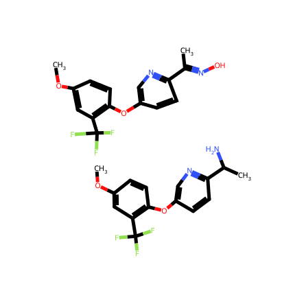 COc1ccc(Oc2ccc(/C(C)=N/O)nc2)c(C(F)(F)F)c1.COc1ccc(Oc2ccc(C(C)N)nc2)c(C(F)(F)F)c1